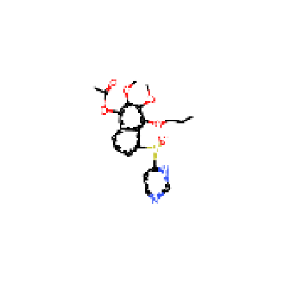 CCCOc1c(OC)c(OC)c(OC(C)=O)c2cccc([S+]([O-])c3ccncn3)c12